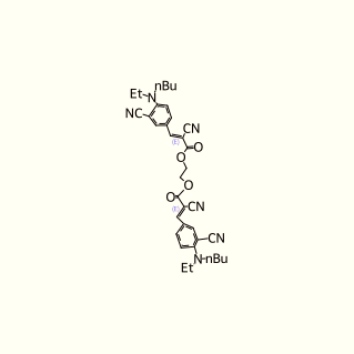 CCCCN(CC)c1ccc(/C=C(\C#N)C(=O)OCCOC(=O)/C(C#N)=C/c2ccc(N(CC)CCCC)c(C#N)c2)cc1C#N